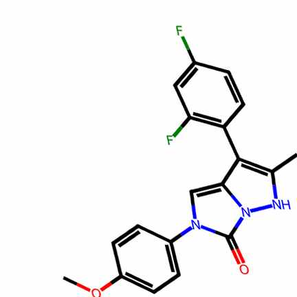 COc1ccc(-n2cc3c(-c4ccc(F)cc4F)c(C)[nH]n3c2=O)cc1